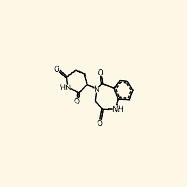 O=C1CCC(N2CC(=O)Nc3ccccc3C2=O)C(=O)N1